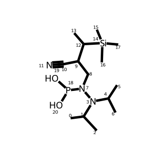 CC(C)N(C(C)C)N(CC(C#N)C(C)[Si](C)(C)C)P(O)O